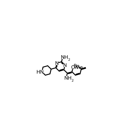 C=C(Br)/C=C\C(OC)=C(/N)c1cc(C2CCNCC2)nc(N)n1